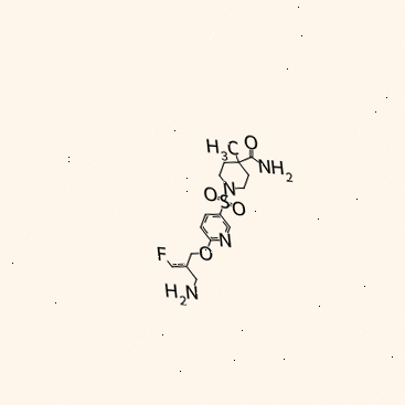 CC1(C(N)=O)CCN(S(=O)(=O)c2ccc(OC/C(=C\F)CN)nc2)CC1